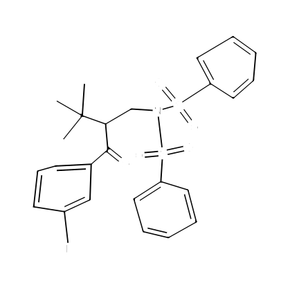 CC(C)(F)C(CN(S(=O)(=O)c1ccccc1)S(=O)(=O)c1ccccc1)C(=O)c1cccc(F)c1